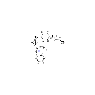 C/C(=C\c1ccccc1)[C@@H]1C[C@H]1N[C@H]1CC[C@H](NCCC#N)CC1